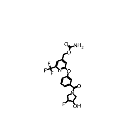 NC(=O)OCc1cc(Oc2cccc(C(=O)N3CC(O)C(F)C3)c2)nc(C(F)(F)F)c1